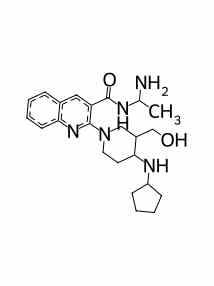 CC(N)NC(=O)c1cc2ccccc2nc1N1CCC(NC2CCCC2)C(CO)C1